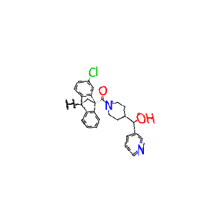 O=C(N1CCC(C(O)c2cccnc2)CC1)[C@@]12C[C@H](c3ccccc31)c1ccc(Cl)cc12